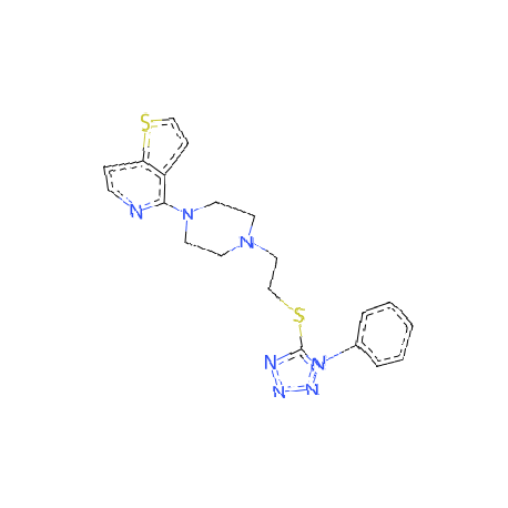 c1ccc(-n2nnnc2SCCN2CCN(c3nccc4sccc34)CC2)cc1